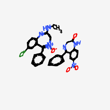 CNC1=Nc2ccc(Cl)cc2C(c2ccccc2)=[N+]([O-])C1.O=C1CN=C(c2ccccc2)c2cc([N+](=O)[O-])ccc2N1